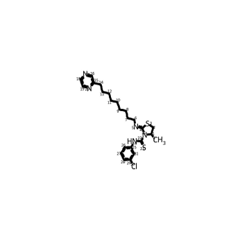 CC1CSC(=NCCCCCCCCCc2cnccn2)N1C(=S)Nc1cccc(Cl)c1